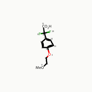 COCCOc1ccc(C(F)(F)C(=O)O)cc1